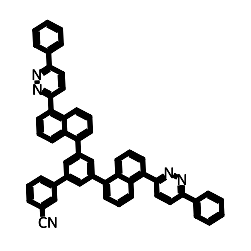 N#Cc1cccc(-c2cc(-c3cccc4c(-c5ccc(-c6ccccc6)nn5)cccc34)cc(-c3cccc4c(-c5ccc(-c6ccccc6)nn5)cccc34)c2)c1